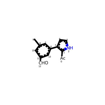 CC(=O)c1[nH]ccc1-c1cc(C)cc(C=O)c1